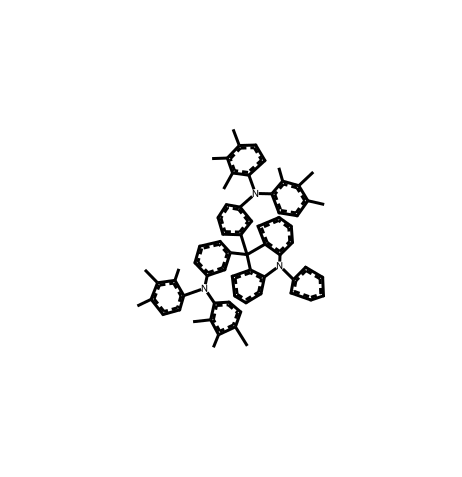 Cc1ccc(N(c2cccc(C3(c4cccc(N(c5ccc(C)c(C)c5C)c5ccc(C)c(C)c5C)c4)c4ccccc4N(c4ccccc4)c4ccccc43)c2)c2ccc(C)c(C)c2C)c(C)c1C